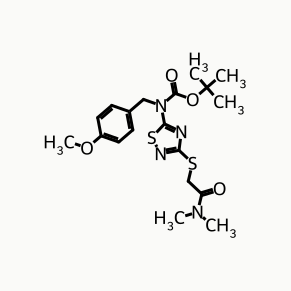 COc1ccc(CN(C(=O)OC(C)(C)C)c2nc(SCC(=O)N(C)C)ns2)cc1